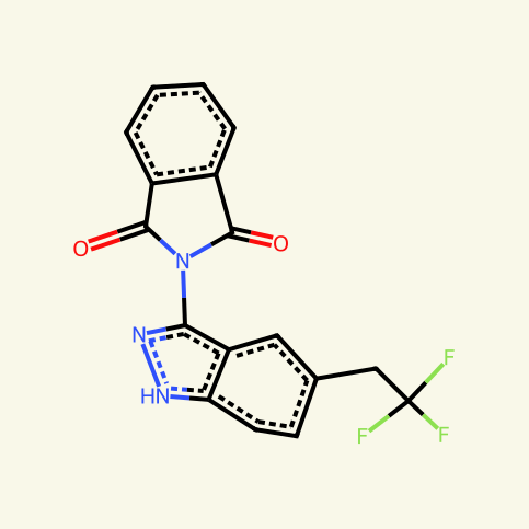 O=C1c2ccccc2C(=O)N1c1n[nH]c2ccc(CC(F)(F)F)cc12